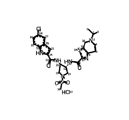 CC(C)N1CCc2nc(C(=O)N[C@@H]3CN(S(C)(=O)=O)C[C@@H]3NC(=O)c3cc4cc(Cl)ccc4[nH]3)sc2C1.Cl